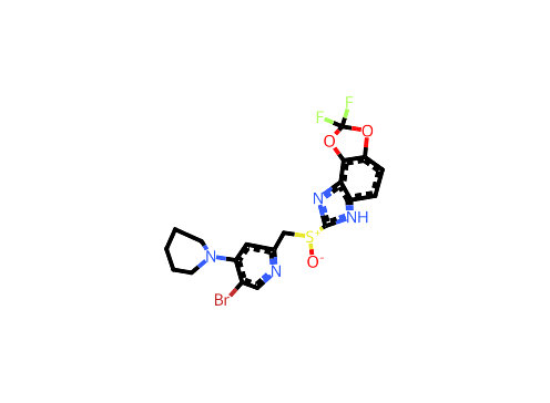 [O-][S+](Cc1cc(N2CCCCC2)c(Br)cn1)c1nc2c3c(ccc2[nH]1)OC(F)(F)O3